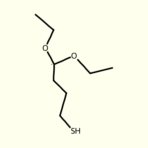 CCO[C](CCCS)OCC